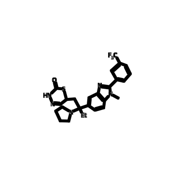 CCC(CC1C=NNC(=O)S1)(c1ccc2c(c1)nc(-c1cccc(C(F)(F)F)c1)n2C)N1CCCC1